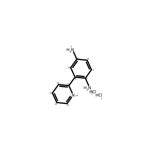 Cl.Cl.Nc1ccc(N)c(-c2ccccn2)c1